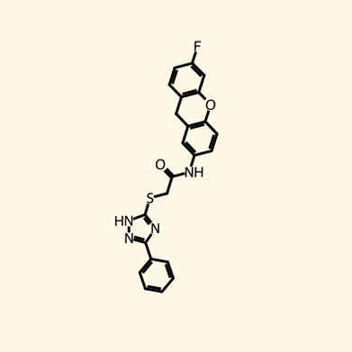 O=C(CSc1nc(-c2ccccc2)n[nH]1)Nc1ccc2c(c1)Cc1ccc(F)cc1O2